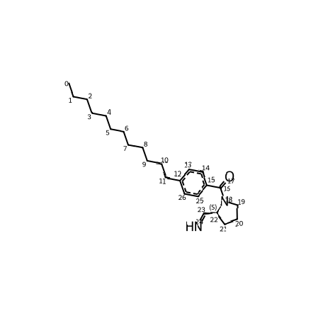 CCCCCCCCCCCCc1ccc(C(=O)N2CCC[C@H]2C=N)cc1